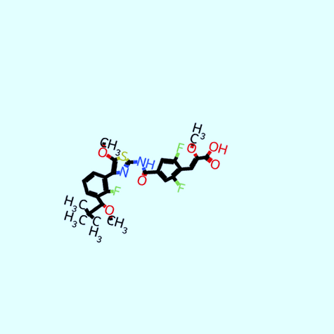 CO/C(=C\c1c(F)cc(C(=O)Nc2nc(-c3cccc(C(OC)C(C)(C)C)c3F)c(OC)s2)cc1F)C(=O)O